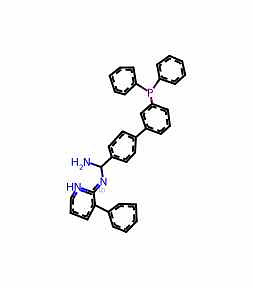 NC(/N=c1\[nH]cccc1-c1ccccc1)c1ccc(-c2cccc(P(c3ccccc3)c3ccccc3)c2)cc1